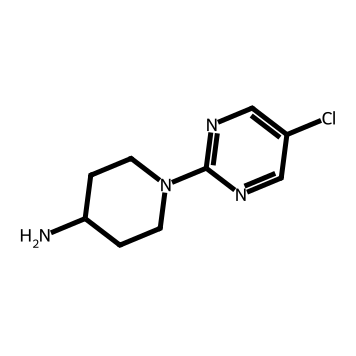 NC1CCN(c2ncc(Cl)cn2)CC1